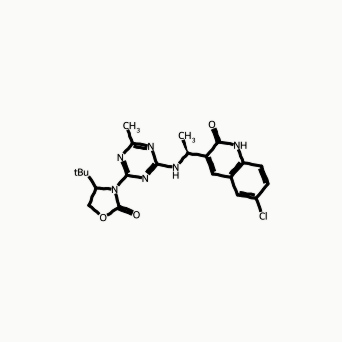 Cc1nc(N[C@@H](C)c2cc3cc(Cl)ccc3[nH]c2=O)nc(N2C(=O)OCC2C(C)(C)C)n1